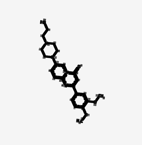 COc1ccc(-c2cc(=O)n3cc(N4CCN(CCO)CC4)ccc3n2)cc1OC